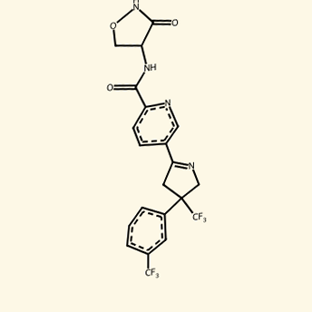 O=C(NC1CONC1=O)c1ccc(C2=NCC(c3cccc(C(F)(F)F)c3)(C(F)(F)F)C2)cn1